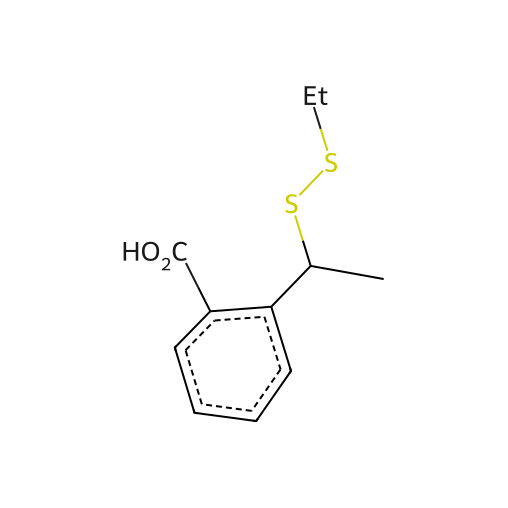 CCSSC(C)c1ccccc1C(=O)O